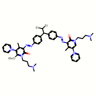 CCC(CC)C(c1ccc(/N=N/c2c(C)c(-[n+]3ccccc3)cn(CCCN(C)C)c2=O)cc1)c1ccc(/N=N/c2c(C)c(-[n+]3ccccc3)c(OC)n(CCCN(C)C)c2=O)cc1